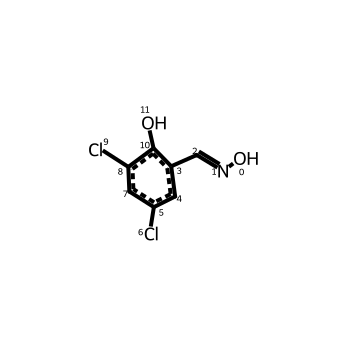 ON=Cc1cc(Cl)cc(Cl)c1O